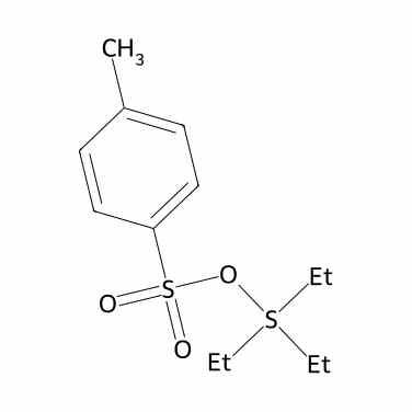 CCS(CC)(CC)OS(=O)(=O)c1ccc(C)cc1